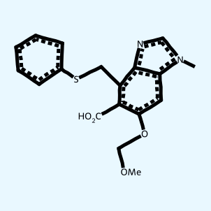 COCOc1cc2c(ncn2C)c(CSc2ccccc2)c1C(=O)O